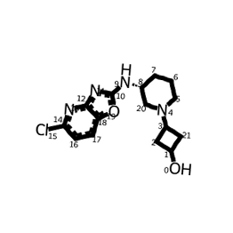 OC1CC(N2CCC[C@@H](Nc3nc4nc(Cl)ccc4o3)C2)C1